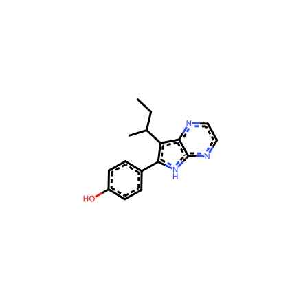 CCC(C)c1c(-c2ccc(O)cc2)[nH]c2nccnc12